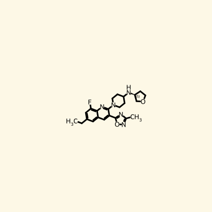 CCc1cc(F)c2nc(N3CCC(N[C@H]4CCOC4)CC3)c(-c3nc(C)no3)cc2c1